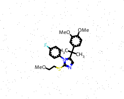 COCCSc1ncc(C(C)(C)c2ccc(OC)c(OC)c2)n1-c1ccc(F)cc1